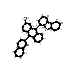 Cc1ccc2c(-c3ccc4ccccc4c3)c3ccccc3c(-c3cccc4c3oc3ccccc34)c2c1